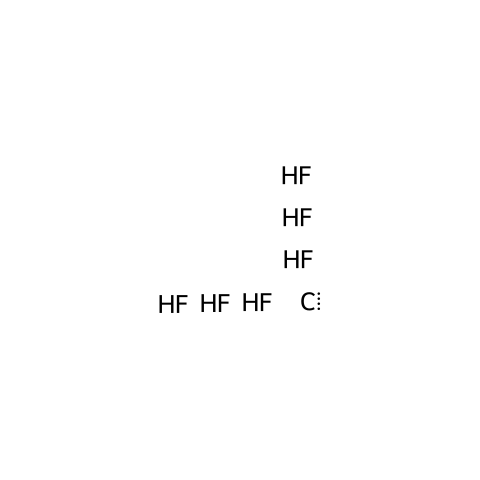 F.F.F.F.F.F.[C]